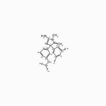 C=C1N(C)C(N)=NC1(c1cc(F)cc(F)c1)c1cccc(OC(F)F)c1